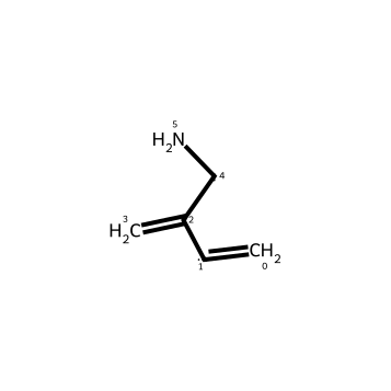 C=[C]C(=C)[CH]N